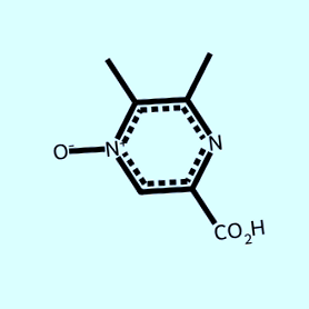 Cc1nc(C(=O)O)c[n+]([O-])c1C